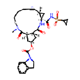 CN1CCCC/C=C\[C@@H]2C[C@@]2(C(=O)NS(=O)(=O)C2CC2)NC(=O)[C@@H]2C[C@@H](OC(=O)N3CCc4ccccc43)C[C@H]2C1=O